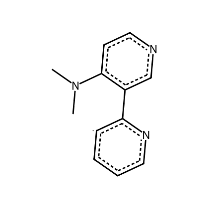 CN(C)c1ccncc1-c1[c]cccn1